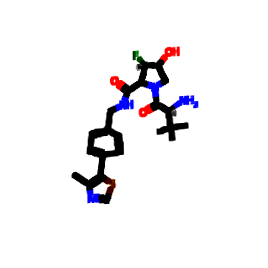 Cc1ncsc1-c1ccc(CNC(=O)C2[C@@H](F)C(O)CN2C(=O)[C@@H](N)C(C)(C)C)cc1